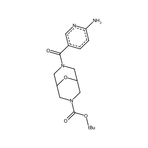 CC(C)(C)OC(=O)N1CC2CN(C(=O)c3ccc(N)nc3)CC(C1)O2